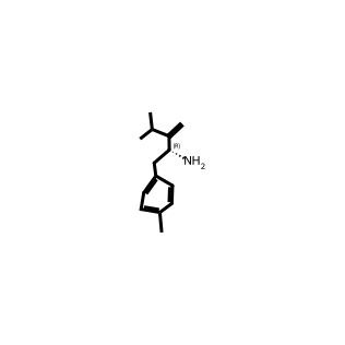 C=C(C(C)C)[C@H](N)Cc1ccc(C)cc1